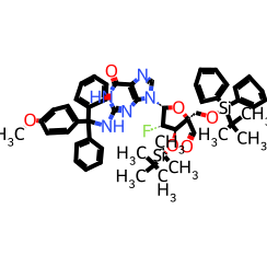 COc1ccc(C(Nc2nc3c(ncn3[C@@H]3O[C@](C=O)(CO[Si](c4ccccc4)(c4ccccc4)C(C)(C)C)[C@@H](O[Si](C)(C)C(C)(C)C)[C@@H]3F)c(=O)[nH]2)(c2ccccc2)c2ccccc2)cc1